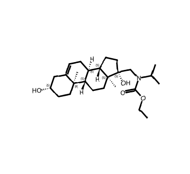 CCOC(=O)N(C[C@]1(O)CC[C@H]2[C@@H]3CC=C4C[C@@H](O)CC[C@]4(C)[C@H]3CC[C@@]21C)C(C)C